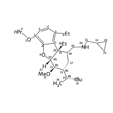 CCCOc1ccc(CC)c2c1O[C@H]1[C@H](OC)[C@@H]([C@@H](C)C(C)(C)C)CC(CNCC3CC3)[C@@]21CC